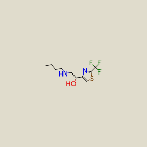 CCCCNCC(O)c1csc(C(F)(F)F)n1